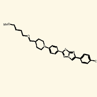 CCOC(=O)c1ccc(-c2cn3nc(-c4ccc(N5CCC(COCCCCOC)CC5)cc4)sc3n2)cc1